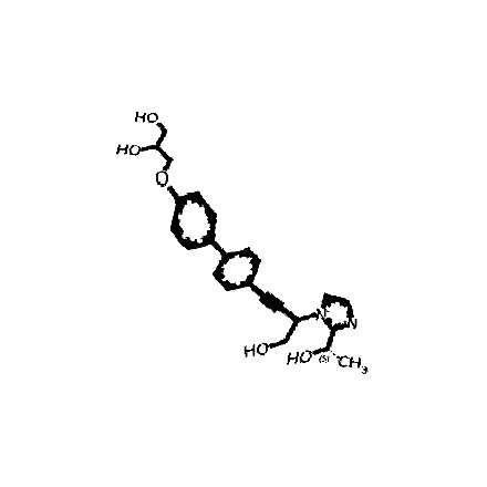 C[C@H](O)c1nccn1C(C#Cc1ccc(-c2ccc(OCC(O)CO)cc2)cc1)CO